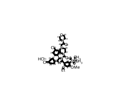 CCOc1cc(OC)c(S(=O)(=O)N(C)C)cc1C1=N[C@@H](c2ccc(Cl)cc2)[C@@H](c2ccc(Cl)cc2)N1C(=O)N1CCN(CC(=O)N2CCOCC2)CC1.Cl